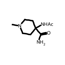 CC(=O)NC1(C(N)=O)CCN(C)CC1